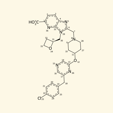 O=C(O)c1ccc2nc(CN3CCC(Oc4cncc(Cc5ccc(Cl)cc5)n4)CC3)n(C[C@@H]3CCO3)c2n1